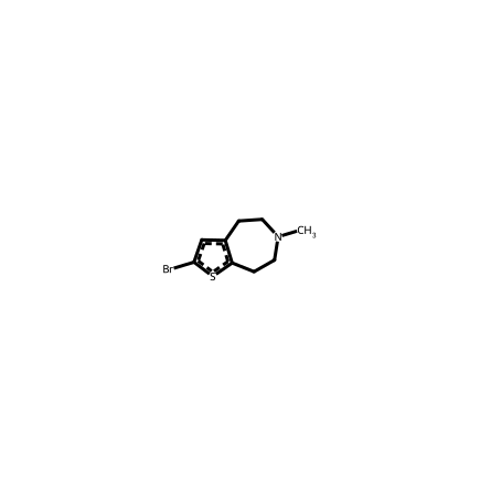 CN1CCc2cc(Br)sc2CC1